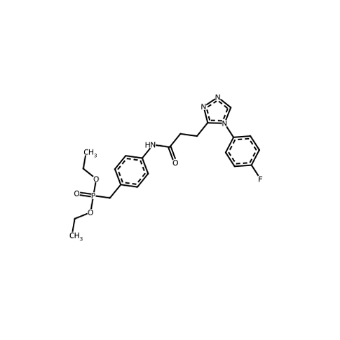 CCOP(=O)(Cc1ccc(NC(=O)CCc2nncn2-c2ccc(F)cc2)cc1)OCC